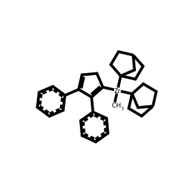 [CH3][Zr]([C]1=C(c2ccccc2)C(c2ccccc2)=CC1)([C]12CCC(CC1)C2)[C]12CCC(CC1)C2